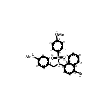 COc1ccc(CN(c2ccc(Br)c3ccccc23)S(=O)(=O)c2ccc(OC)cc2)cc1